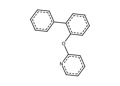 [c]1ccc(Oc2ccccn2)c(-c2ccccc2)c1